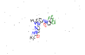 CC(=O)c1cc2cc(NCc3cc(NC(=O)c4ccc(Cl)c(C(F)(F)F)c4)ccc3C)cnc2[nH]1